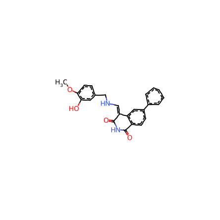 COc1ccc(CNC=C2C(=O)NC(=O)c3ccc(-c4ccccc4)cc32)cc1O